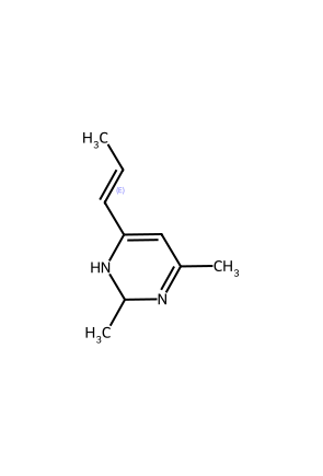 C/C=C/C1=CC(C)=NC(C)N1